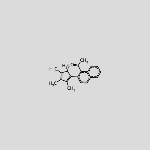 CC(=O)c1c(C2=C(C)C(C)=C(C)C2C)ccc2ccccc12